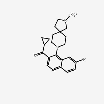 O=C(c1cnc2ccc(Br)cc2c1N1CCC2(CCN(C(=O)O)C2)CC1)C1CC1